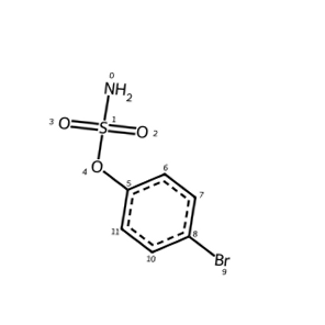 NS(=O)(=O)Oc1ccc(Br)cc1